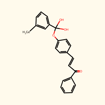 O=C(C=Cc1ccc(OC(O)(O)c2ccc[c]([GeH3])c2)cc1)c1ccccc1